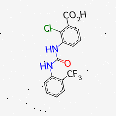 O=C(Nc1ccccc1C(F)(F)F)Nc1cccc(C(=O)O)c1Cl